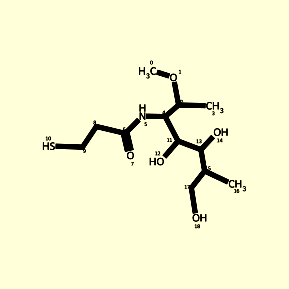 COC(C)C(NC(=O)CCS)C(O)C(O)C(C)CO